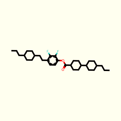 CCCC1CCC(CCc2ccc(OC(=O)C3CCC(C4CCC(CCC)CC4)CC3)c(F)c2F)CC1